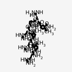 COc1ccc(NC(=O)[C@@H](CCCNC(=N)N)NC(=O)c2cccc(NC(=O)[C@@H](CCCNC(=N)N)NC(=O)c3nc(NC(=O)[C@@H](CCCNC(=N)N)NC(=O)c4nc(NC(=O)[C@H](N)CCCNC(=N)N)ccc4OC)ccc3OC)n2)cc1C(N)=O